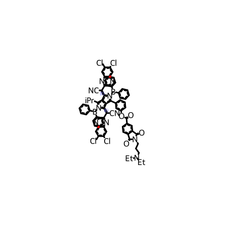 CCN(CC)CCCN1C(=O)c2ccc(C(=O)Oc3cccc(-c4c5/c(=C(\C#N)c6cnc7cc(Cl)c(Cl)cc7n6)n(B(c6ccccc6)c6ccccc6)c(C(C)C)c5/c(=C(\C#N)c5cnc6cc(Cl)c(Cl)cc6n5)n4B(c4ccccc4)c4ccccc4)c3)cc2C1=O